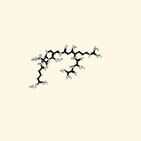 CC(N)C(=O)NC(C)C(=O)NC(CCCN=C(N)N)C(O)CC(=O)OCC1=C(C(=O)O)N2C(=O)C(NC=O)(NC(=O)CCCC(N)C(=O)O)C2SC1